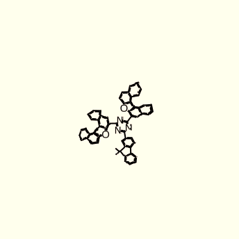 CC1(C)c2ccccc2-c2ccc(-c3nc(-c4cc5ccccc5c5c4oc4ccc6ccccc6c45)nc(-c4cc5ccccc5c5c4oc4ccc6ccccc6c45)n3)cc21